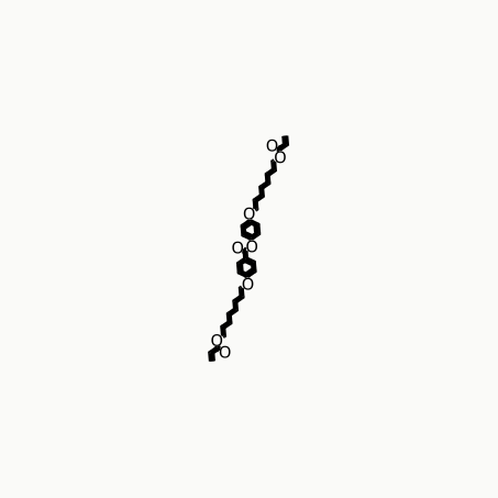 C=CC(=O)OCCCCCCCCOc1ccc(OC(=O)c2ccc(OCCCCCCCCOC(=O)C=C)cc2)cc1